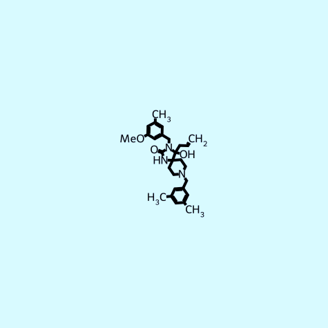 C=CCC1(O)N(Cc2cc(C)cc(OC)c2)C(=O)NC12CCN(Cc1cc(C)cc(C)c1)CC2